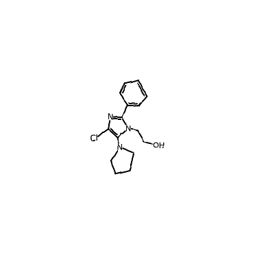 OCCn1c(-c2ccccc2)nc(Cl)c1N1CCCC1